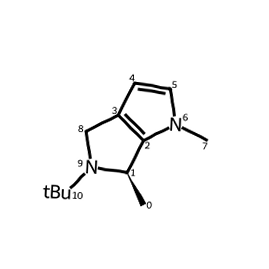 C[C@@H]1c2c(ccn2C)CN1C(C)(C)C